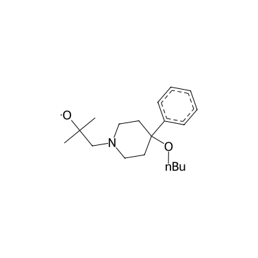 CCCCOC1(c2ccccc2)CCN(CC(C)(C)[O])CC1